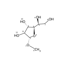 CO[C@H]1O[C@H]([C@@H](O)CO)[C@@H](O)C1O